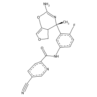 C[C@]1(c2cc(NC(=O)c3ccc(C#N)cn3)ccc2F)N=C(N)OC2=COCC21